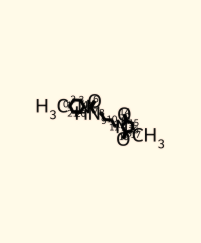 CC1CCN(C(=O)NCCCCN2C(=O)CC(C)C2=O)CC1